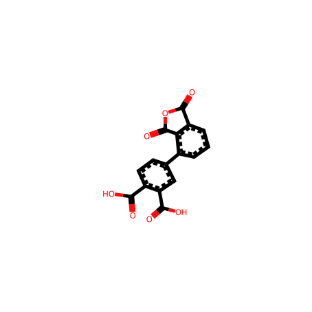 O=C(O)c1ccc(-c2cccc3c2C(=O)OC3=O)cc1C(=O)O